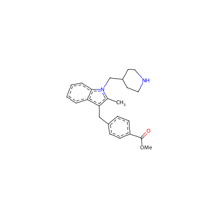 COC(=O)c1ccc(Cc2c(C)n(CC3CCNCC3)c3ccccc23)cc1